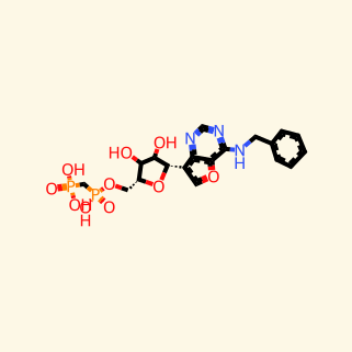 O=P(O)(O)CP(=O)(O)OC[C@H]1O[C@@H](c2coc3c(NCc4ccccc4)ncnc23)C(O)C1O